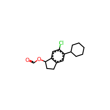 O=COC1CCc2cc(C3CCCCC3)c(Cl)cc21